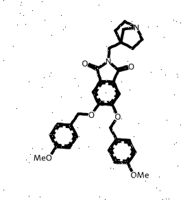 COc1ccc(COc2cc3c(cc2OCc2ccc(OC)cc2)C(=O)N(CC24CCN(CC2)C4)C3=O)cc1